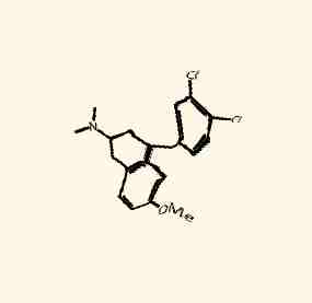 COc1ccc2c(c1)C(c1ccc(Cl)c(Cl)c1)CC(N(C)C)C2